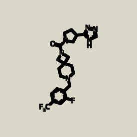 O=C(N1CCC(c2nnc[nH]2)C1)N1CC2(CCN(Cc3ccc(C(F)(F)F)cc3F)CC2)C1